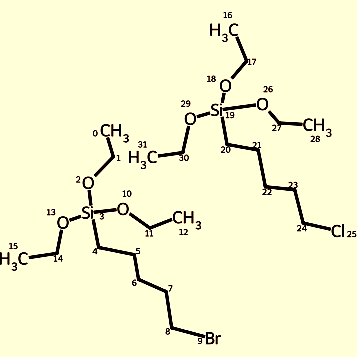 CCO[Si](CCCCCBr)(OCC)OCC.CCO[Si](CCCCCCl)(OCC)OCC